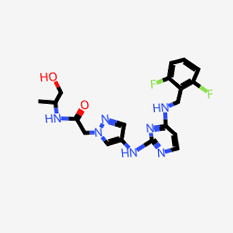 CC(CO)NC(=O)Cn1cc(Nc2nccc(NCc3c(F)cccc3F)n2)cn1